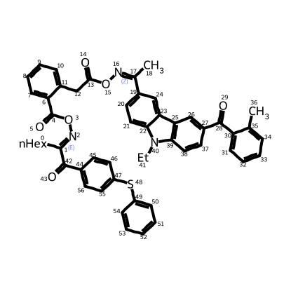 CCCCCC/C(=N\OC(=O)c1ccccc1CC(=O)O/N=C(/C)c1ccc2c(c1)c1cc(C(=O)c3ccccc3C)ccc1n2CC)C(=O)c1ccc(Sc2ccccc2)cc1